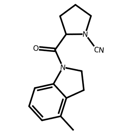 Cc1cccc2c1CCN2C(=O)C1CCCN1C#N